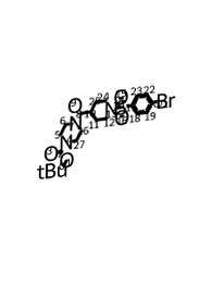 CC(C)(C)OC(=O)N1CCN(C(=O)C2CCN(S(=O)(=O)c3ccc(Br)cc3)CC2)CC1